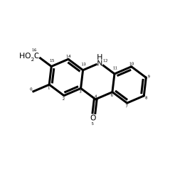 Cc1cc2c(=O)c3ccccc3[nH]c2cc1C(=O)O